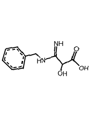 N=C(NCc1ccccc1)C(O)C(=O)O